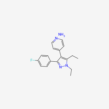 CCc1c(-c2ccncc2)c(-c2ccc(F)cc2)nn1CC.N